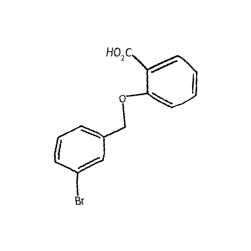 O=C(O)c1ccccc1OCc1cccc(Br)c1